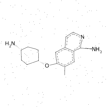 Cc1cc2c(N)nccc2cc1O[C@H]1CC[C@@H](N)CC1